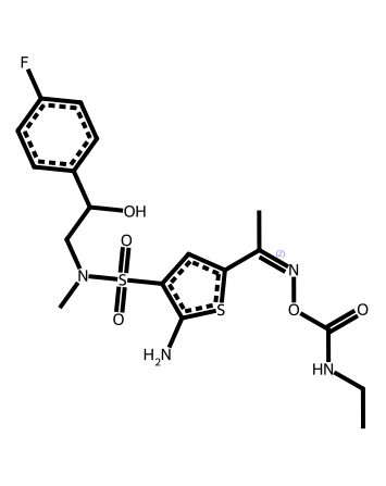 CCNC(=O)O/N=C(/C)c1cc(S(=O)(=O)N(C)CC(O)c2ccc(F)cc2)c(N)s1